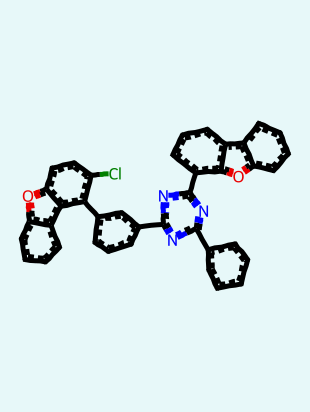 Clc1ccc2oc3ccccc3c2c1-c1cccc(-c2nc(-c3ccccc3)nc(-c3cccc4c3oc3ccccc34)n2)c1